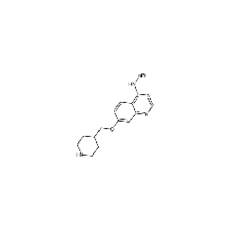 CCCNc1ncnc2cc(OCC3CCNCC3)ccc12